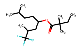 CCC(C)(C)C(=O)OC(CCC(C)C)CC(C)C(F)(F)F